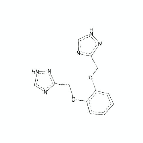 c1ccc(OCc2nc[nH]n2)c(OCc2nc[nH]n2)c1